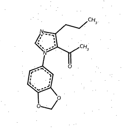 CCCc1ncn(-c2ccc3c(c2)OCO3)c1C(C)=O